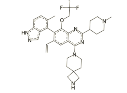 C=Cc1cc2c(N3CCC4(CC3)CNC4)nc(C3CCN(C)CC3)nc2c(OCC(F)(F)F)c1-c1c(C)ccc2[nH]ncc12